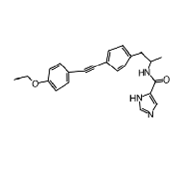 CCOc1ccc(C#Cc2ccc(CC(C)NC(=O)c3cnc[nH]3)cc2)cc1